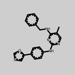 Cc1cnc(Nc2ccc(-c3cnco3)cc2)nc1NCc1ccccc1